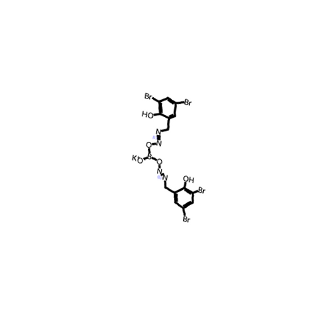 [K+].[O-]B(O/N=N/Cc1cc(Br)cc(Br)c1O)O/N=N/Cc1cc(Br)cc(Br)c1O